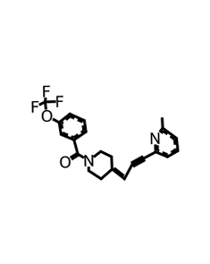 Cc1cccc(C#CC=C2CCN(C(=O)c3cccc(OC(F)(F)F)c3)CC2)n1